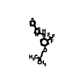 CN(C)CCOc1ccc(Nc2ncc(-c3ccsc3)s2)c(C(F)(F)F)c1